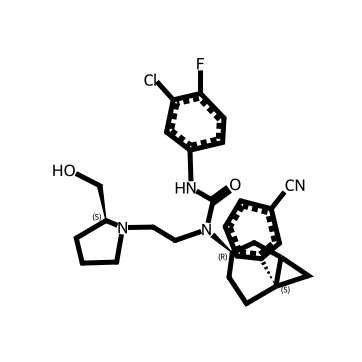 N#Cc1cccc([C@]23CC[C@@H](N(CCN4CCC[C@H]4CO)C(=O)Nc4ccc(F)c(Cl)c4)CC2C3)c1